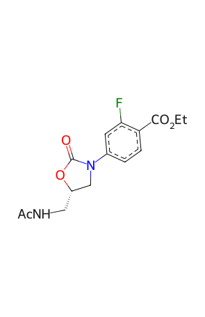 CCOC(=O)c1ccc(N2C[C@H](CNC(C)=O)OC2=O)cc1F